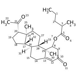 CCCC(C)C(=O)OC1CC(=O)C=C2CC[C@H]3[C@@H]4CC[C@H](C(C)=O)[C@@]4(C)CC[C@@H]3[C@]21C